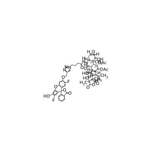 CC(=O)O[C@H]1C2C([C@@H](O)[C@@H](NC(=O)CCCn3cc(COc4cc5c(cc4F)C4(OC(=O)c6ccccc64)c4cc(F)c(O)cc4O5)nn3)[C@H]3C[C@@H]4O[C@@H]4[C@H](O)[C@]23C)[C@@H]2[C@@H](O)[C@@H]3[C@H]([C@H](C)[C@H]4O[C@]45OC(=O)[C@@](C)(O)[C@]35C)[C@@]2(C)[C@H]1OC(C)=O